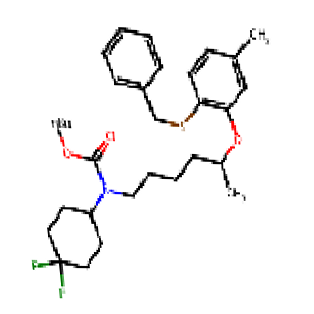 CCCCOC(=O)N(CCCC[C@H](C)Oc1cc(C)ccc1SCc1ccccc1)C1CCC(F)(F)CC1